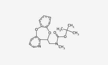 CN(CC1Oc2ccccc2Oc2cccnc21)C(=O)OC(C)(C)C